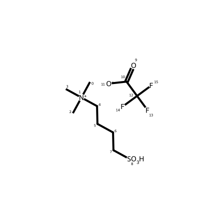 C[N+](C)(C)CCCCS(=O)(=O)O.O=C([O-])C(F)(F)F